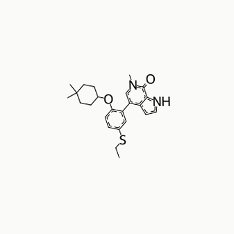 CCSc1ccc(OC2CCC(C)(C)CC2)c(-c2cn(C)c(=O)c3[nH]ccc23)c1